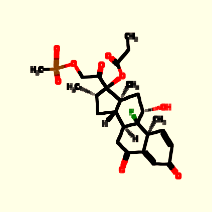 CCC(=O)O[C@]1(C(=O)COS(C)(=O)=O)[C@@H](C)C[C@H]2[C@@H]3CC(=O)C4=CC(=O)C=C[C@]4(C)[C@@]3(F)[C@@H](O)C[C@@]21C